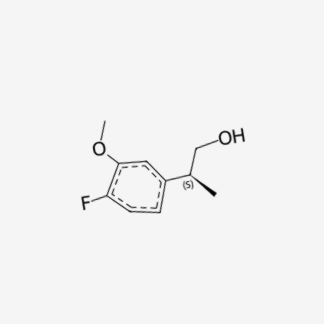 COc1cc([C@H](C)CO)ccc1F